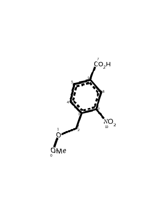 COOCc1ccc(C(=O)O)cc1[N+](=O)[O-]